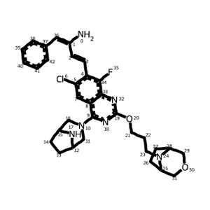 NC(/C=C/c1c(Cl)cc2c(N3CC4CCC(C3)N4)nc(OCCCN3C4CCC3COC4)nc2c1F)=C/c1ccccc1